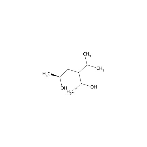 CC(C)C(C[C@H](C)O)[C@@H](C)O